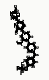 CC[C@H]1CN(c2ccc(-c3nnc(C)o3)nc2C)CCN1C1CCN(Cc2ccc(OC(F)(F)F)cc2)CC1